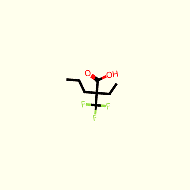 CCCC(CC)(C(=O)O)C(F)(F)F